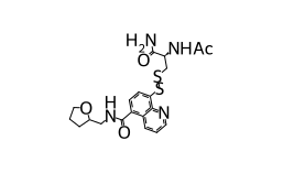 CC(=O)N[C@@H](CSSc1ccc(C(=O)NCC2CCCO2)c2cccnc12)C(N)=O